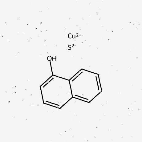 Oc1cccc2ccccc12.[Cu+2].[S-2]